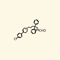 O=CNCC(CCCN1CC=C(c2ccc(Cl)cc2)CC1)(c1ccccc1)c1ccccc1